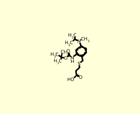 CC(C)N(C)c1ccc(CSCCC(=O)O)c(NC(=O)OC(C)(C)C)c1